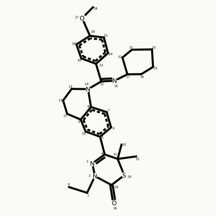 CCN1N=C(c2ccc3c(c2)CCCN3C(=NC2CCCCC2)c2ccc(OC)cc2)C(C)(C)SC1=O